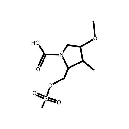 COC1CN(C(=O)O)C(COS(C)(=O)=O)C1C